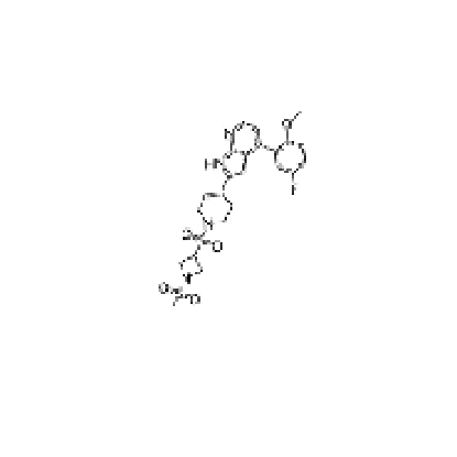 COc1ccc(F)cc1-c1ccnc2[nH]c(C3=CCN(S(=O)(=O)C4CN(S(C)(=O)=O)C4)CC3)cc12